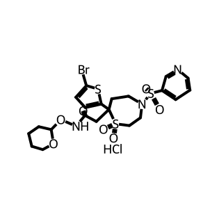 Cl.O=C(CC1(c2ccc(Br)s2)CCN(S(=O)(=O)c2cccnc2)CCS1(=O)=O)NOC1CCCCO1